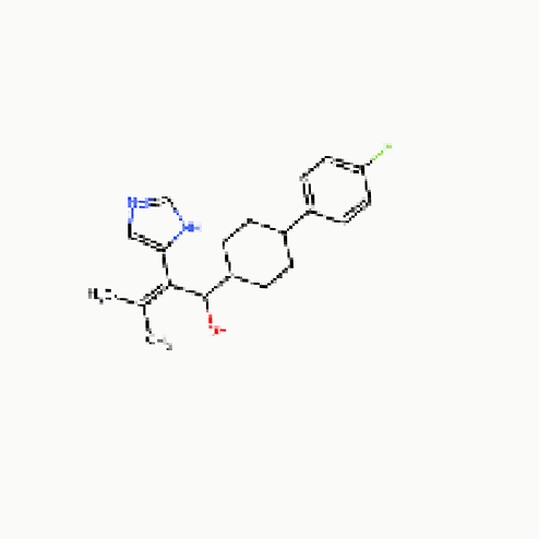 CC(C)=C(c1cnc[nH]1)C(O)C1CCC(c2ccc(F)cc2)CC1